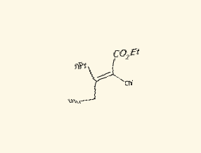 CCC/C(CC(C)(C)C)=C(/C#N)C(=O)OCC